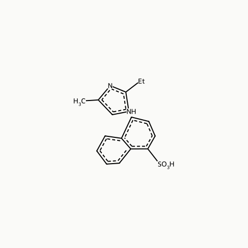 CCc1nc(C)c[nH]1.O=S(=O)(O)c1cccc2ccccc12